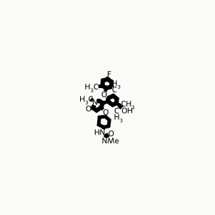 CNC(=O)NC1CCC(Oc2cc(=O)n(C)cc2-c2cc(C(C)(C)O)ccc2Oc2c(C)cc(F)cc2C)CC1